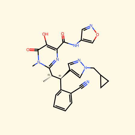 C[C@H](c1nc(C(=O)Nc2cnoc2)c(O)c(=O)n1C)[C@@H](c1cnn(CC2CC2)c1)c1ccccc1C#N